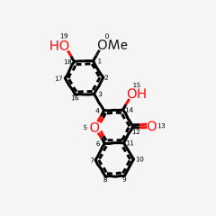 COc1cc(-c2oc3ccccc3c(=O)c2O)ccc1O